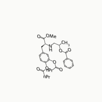 CCCC(=O)Oc1ccc(C[C@H](NCC(C)OC(=O)c2ccccc2)C(=O)OC)cc1OC(=O)CCC